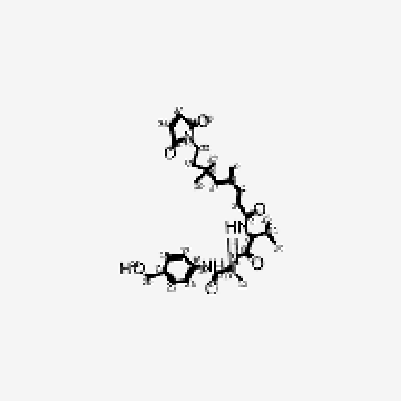 CC(CCC(=O)NC(C(=O)N[C@@H](C)C(=O)Nc1ccc(CO)cc1)C(C)C)CC(C)(C)CCN1C(=O)C=CC1=O